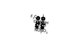 O=C1NN(c2ccc(I)cc2)C(=O)/C1=C/c1ccc([N+](=O)[O-])o1.O=C1NN(c2cccc(C(F)(F)F)c2)C(=O)/C1=C/c1ccc([N+](=O)[O-])s1